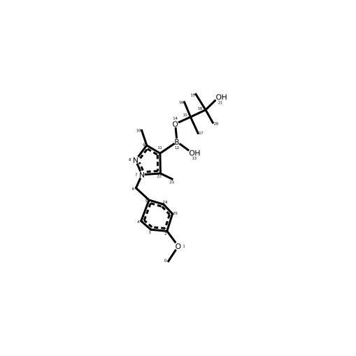 COc1ccc(Cn2nc(C)c(B(O)OC(C)(C)C(C)(C)O)c2C)cc1